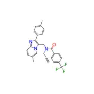 C#CCN(Cc1c(-c2ccc(C)cc2)nc2ccc(C)cn12)C(=O)c1ccc(C(F)(F)F)cc1